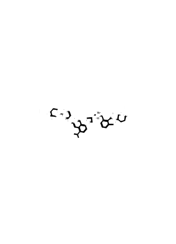 CC(C)c1ccc(N2C[C@H](CS(=O)(=O)Cc3cccc4c3C(=O)N(C3CCC(=O)NC3=O)C4=O)[C@H]2C)c2cnc(Nc3ccnc(N4CC[C@@H](O)[C@@](C)(F)C4)n3)cc12